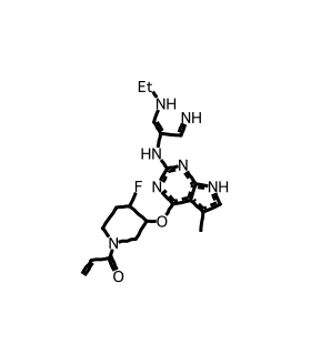 C=CC(=O)N1CCC(F)C(Oc2nc(N/C(C=N)=C/NCC)nc3[nH]cc(C)c23)C1